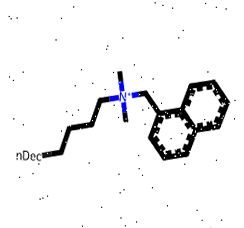 CCCCCCCCCCCCCC[N+](C)(C)Cc1cccc2ccccc12